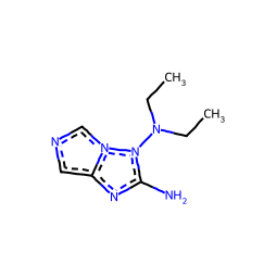 CCN(CC)n1c(N)nc2cncn21